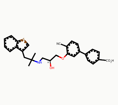 CC(C)(Cc1csc2ccccc12)NC[C@H](O)COc1cc(-c2ccc(C(=O)O)cc2)ccc1C#N